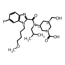 COCCCCn1c(C(=O)N(CC(C)C)[C@H]2C[C@@H](CO)CN(C(=O)O)C2)nc2ccc(F)cc21